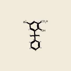 CCC(C)c1cc(C(=O)O)c(O)c(C(C)(C)c2ccccc2)c1